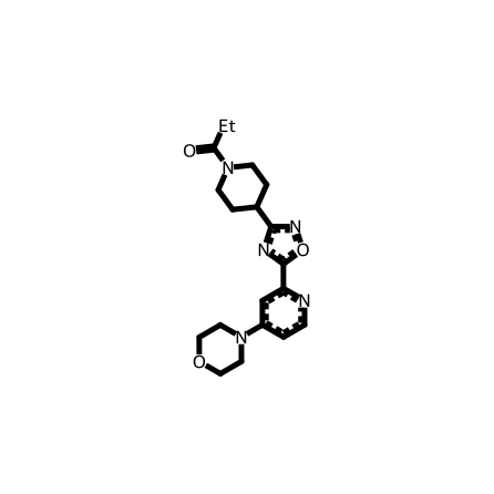 CCC(=O)N1CCC(c2noc(-c3cc(N4CCOCC4)ccn3)n2)CC1